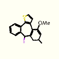 COC1=CC(C)CC2=C1c1ccsc1-c1ccccc1C2I